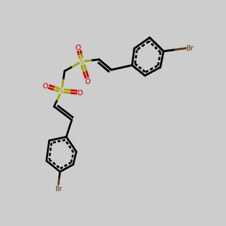 O=S(=O)(C=Cc1ccc(Br)cc1)CS(=O)(=O)C=Cc1ccc(Br)cc1